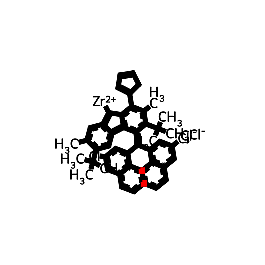 Cc1cc2c(cc1C(C)(C)C)=c1c(c(C3=CC=CC3)c(C)c(C(C)(C)C)c1=C(c1cc(Cl)cc3ccccc13)c1cc(Cl)cc3ccccc13)[C]=2[Zr+2].[Cl-].[Cl-]